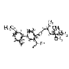 Cc1cc(-c2cc(C(F)F)c(OC[C@@H](C)CC(C)(C)N)cn2)c(F)cn1